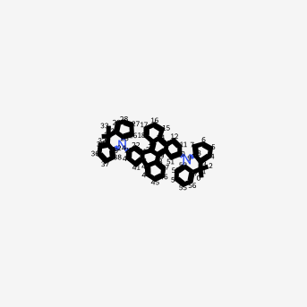 CC1(C)c2ccccc2N(c2ccc3c4ccccc4c4c5cc(N6c7ccccc7C(C)(C)c7ccccc76)ccc5c5ccccc5c4c3c2)c2ccccc21